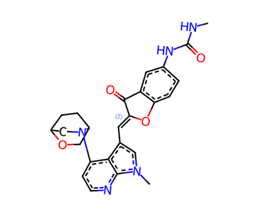 CNC(=O)Nc1ccc2c(c1)C(=O)/C(=C/c1cn(C)c3nccc(N4CC5CCC4CO5)c13)O2